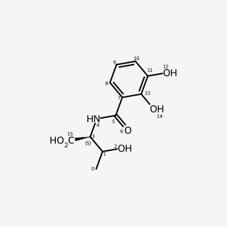 CC(O)[C@H](NC(=O)c1cccc(O)c1O)C(=O)O